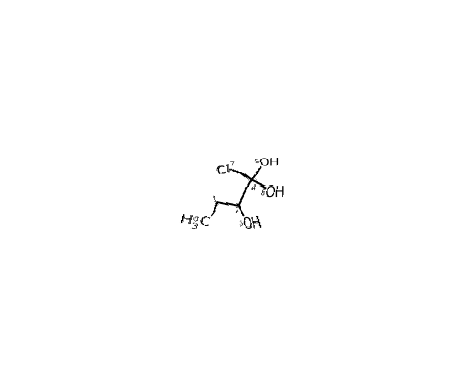 CCC(O)C(O)(O)Cl